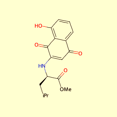 COC(=O)[C@@H](CC(C)C)NC1=CC(=O)c2cccc(O)c2C1=O